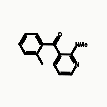 CNc1ncccc1C(=O)c1ccccc1C